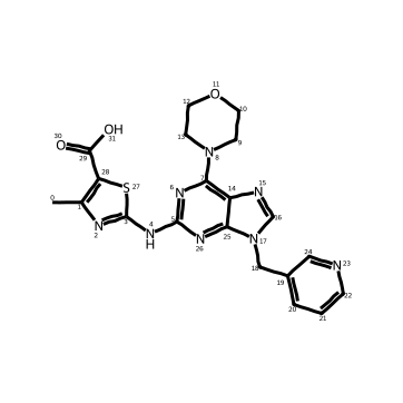 Cc1nc(Nc2nc(N3CCOCC3)c3ncn(Cc4cccnc4)c3n2)sc1C(=O)O